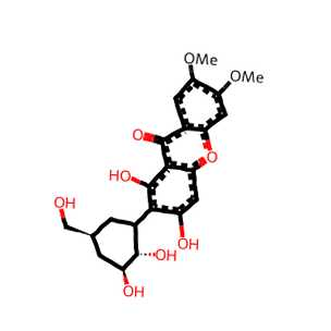 COc1cc2oc3cc(O)c(C4C[C@H](CO)C[C@H](O)[C@H]4O)c(O)c3c(=O)c2cc1OC